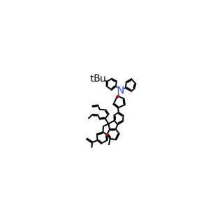 C=CC\C=C/C(=C\C=C/C)C1(Cc2cccc(C(=C)C)c2)c2cc(C)ccc2-c2ccc(-c3ccc(N(c4ccccc4)c4ccc(C(C)(C)C)cc4)cc3)cc21